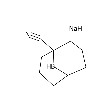 N#CC12BC(CCC1)CCC2.[NaH]